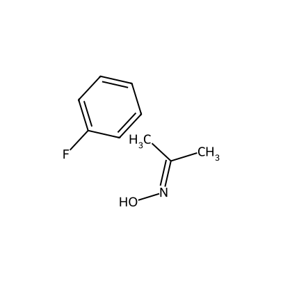 CC(C)=NO.Fc1ccccc1